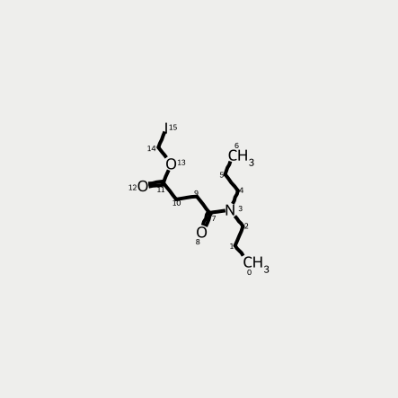 CCCN(CCC)C(=O)CCC(=O)OCI